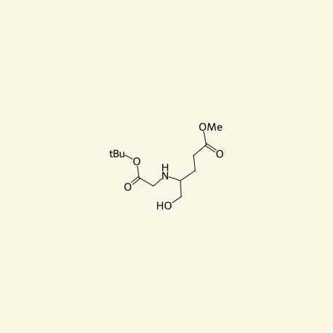 COC(=O)CCC(CO)NCC(=O)OC(C)(C)C